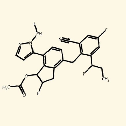 CCC(F)c1cc(F)cc(C#N)c1Cc1ccc(-c2ccnn2PI)c2c1CC(F)C2OC(C)=O